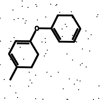 CC1=CC=C(OC2=CC=CCC2)CC1